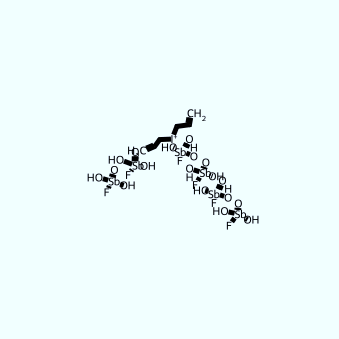 C=CC[I+]CC=C.[O]=[Sb]([OH])([OH])[F].[O]=[Sb]([OH])([OH])[F].[O]=[Sb]([OH])([OH])[F].[O]=[Sb]([OH])([OH])[F].[O]=[Sb]([OH])([OH])[F].[O]=[Sb]([OH])([OH])[F]